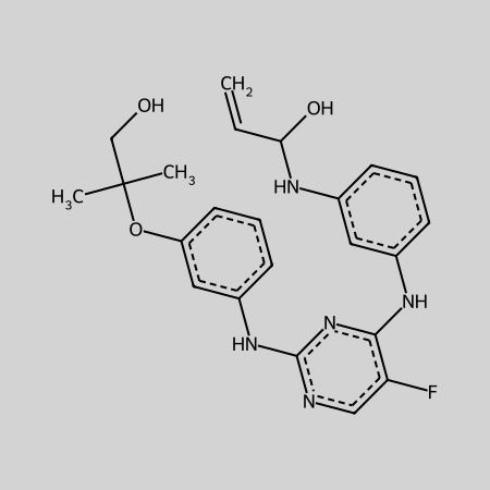 C=CC(O)Nc1cccc(Nc2nc(Nc3cccc(OC(C)(C)CO)c3)ncc2F)c1